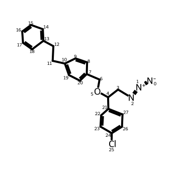 [N-]=[N+]=NCC(OCc1ccc(CCc2ccccc2)cc1)c1ccc(Cl)cc1